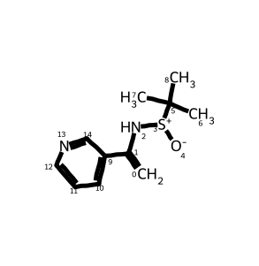 C=C(N[S+]([O-])C(C)(C)C)c1cccnc1